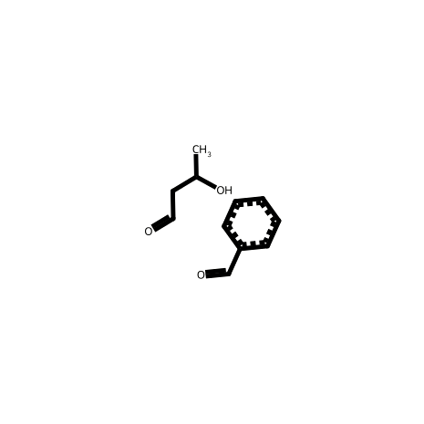 CC(O)CC=O.O=Cc1ccccc1